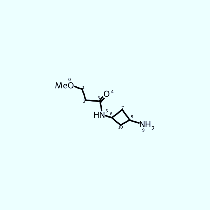 COCCC(=O)NC1CC(N)C1